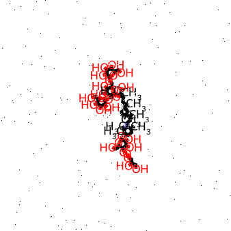 CC1CC[C@H](OC2OC(CO)C(OOOCC(O)CO)C(O)C2O)C(C)(C)/C1=C/CC(C)[C@]1(C)CC[C@H]([C@H](C)CCC(OC2OC(COC3OC(CO)C(O)C(O)C3O)C(O)C(O)C2OC2OC(CO)C(O)C(O)C2O)C(C)(C)O)C1